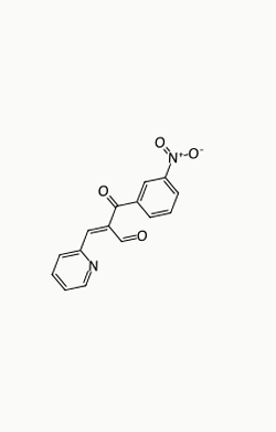 O=C/C(=C\c1ccccn1)C(=O)c1cccc([N+](=O)[O-])c1